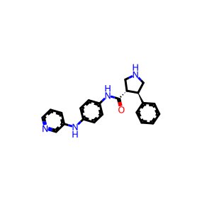 O=C(Nc1ccc(Nc2cccnc2)cc1)[C@@H]1CNC[C@H]1c1ccccc1